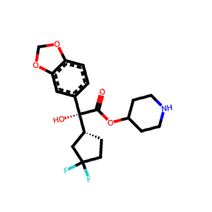 O=C(OC1CCNCC1)[C@](O)(c1ccc2c(c1)OCO2)[C@@H]1CCC(F)(F)C1